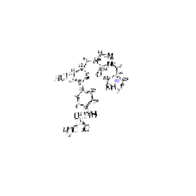 CS(=O)(=O)Nc1ccc(-c2ccc(Cn3cnn(C/C(=C/F)CN)c3=O)s2)cc1.Cl